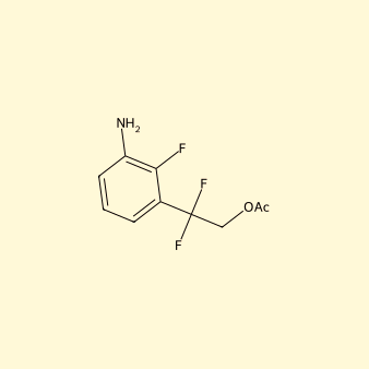 CC(=O)OCC(F)(F)c1cccc(N)c1F